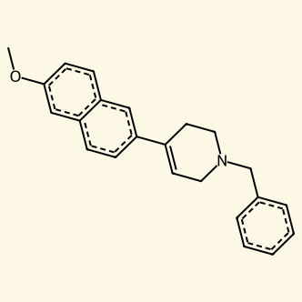 COc1ccc2cc(C3=CCN(Cc4ccccc4)CC3)ccc2c1